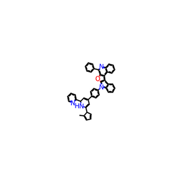 CC1=CC=CC1C1=CC(c2ccc(-n3c4ccccc4c4c5c(oc43)c(-c3ccccc3)nc3ccccc35)cc2)=CC(c2ccccn2)N1